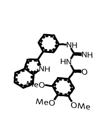 COc1cc(C(=O)NC(=N)Nc2cccc(-c3cc4ccccc4[nH]3)c2)cc(OC)c1OC